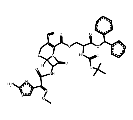 C=CC1=C(C(=O)OCC(NC(=O)OC(C)(C)C)C(=O)OC(c2ccccc2)c2ccccc2)N2C(=O)C(NC(=O)C(=NOC)c3csc(N)n3)[C@@H]2SC1